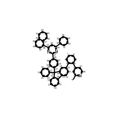 Cc1cc(-c2ccccc2-c2ccc3c(c2)C(c2ccccc2)(c2ccc(-c4nc(-c5ccccc5)cc(-c5cccc6ccccc56)n4)cc2)c2ccccc2-3)ccn1